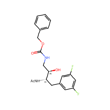 CC(=O)N[C@@H](Cc1cc(F)cc(F)c1)[C@H](O)CNC(=O)OCc1ccccc1